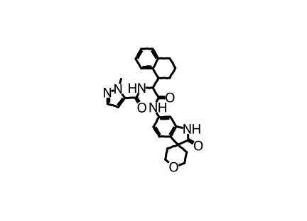 Cn1nccc1C(=O)NC(C(=O)Nc1ccc2c(c1)NC(=O)C21CCOCC1)C1CCCc2ccccc21